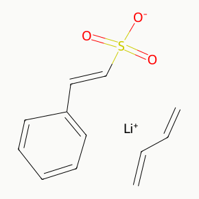 C=CC=C.O=S(=O)([O-])C=Cc1ccccc1.[Li+]